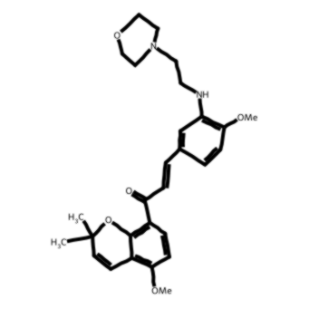 COc1ccc(C=CC(=O)c2ccc(OC)c3c2OC(C)(C)C=C3)cc1NCCN1CCOCC1